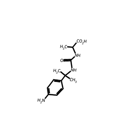 CC(NC(=O)NC(C)(C)c1ccc(N)cc1)C(=O)O